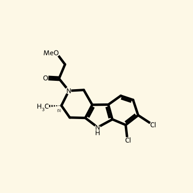 COCC(=O)N1Cc2c([nH]c3c(Cl)c(Cl)ccc23)C[C@@H]1C